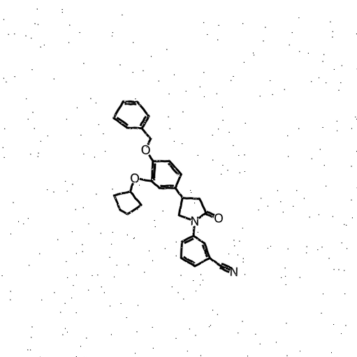 N#Cc1cccc(N2CC(c3ccc(OCc4ccccc4)c(OC4CCCC4)c3)CC2=O)c1